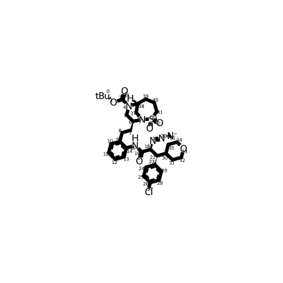 CC(C)(C)OC(=O)N1C[C@H](CCc2ccccc2NC(=O)[C@@H](N=[N+]=[N-])[C@@H](c2ccc(Cl)cc2)C2CCOCC2)N2C[C@H]1CCCS2(=O)=O